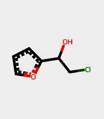 OC([CH]Cl)c1ccco1